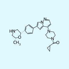 C[C@@H]1CNC[C@H](c2ccc(-c3cc4c(N5CCN(C(=O)C6CC6)CC5)ccnn4c3)cc2)O1